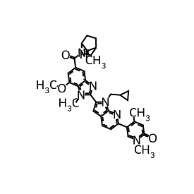 COc1cc(C(=O)N2CC3CCC2[C@@H]3C)cc2nc(-c3cc4ccc(-c5cn(C)c(=O)cc5C)nc4n3CC3CC3)n(C)c12